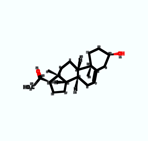 C[C@]12CC[C@H]3[C@@H](CC=C4C[C@@H](O)CC[C@@]43C)[C@@H]1CC[C@@H]2C(=O)C(=O)O